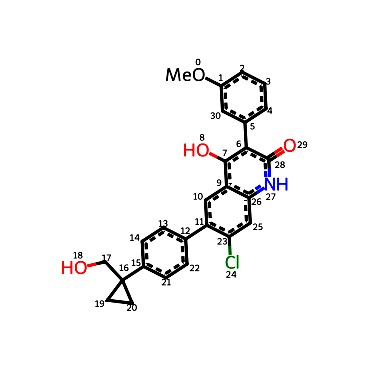 COc1cccc(-c2c(O)c3cc(-c4ccc(C5(CO)CC5)cc4)c(Cl)cc3[nH]c2=O)c1